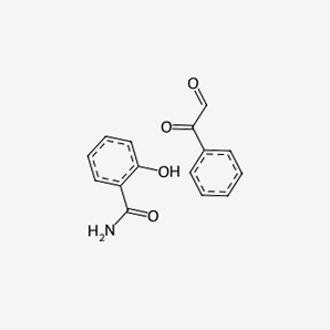 NC(=O)c1ccccc1O.O=CC(=O)c1ccccc1